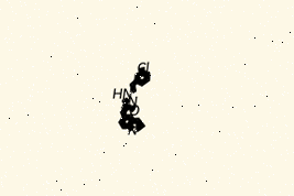 O=C1N=C(NCCc2cccc(Cl)c2)SC1=Cc1ccc2ncccc2c1